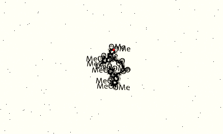 COc1ccc(CC2c3c(cc(OC)c(OC)c3OC)CC[N+]2(C)CCCOC(=O)C#CC(=O)OCCC[N+]2(C)CCc3cc(OC)c(OC)c(OC)c3C2Cc2cc(OC)c(OC)c(OC)c2)cc1OC